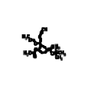 C#CCCC(OCOC)C1CN(C(=O)OC(C)(C)C)CCC1OC(C)=O